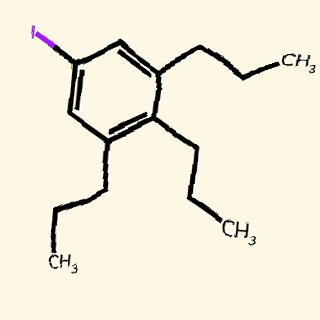 CCCc1cc(I)cc(CCC)c1CCC